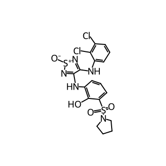 O=S(=O)(c1cccc(Nc2n[s+]([O-])nc2Nc2cccc(Cl)c2Cl)c1O)N1CCCC1